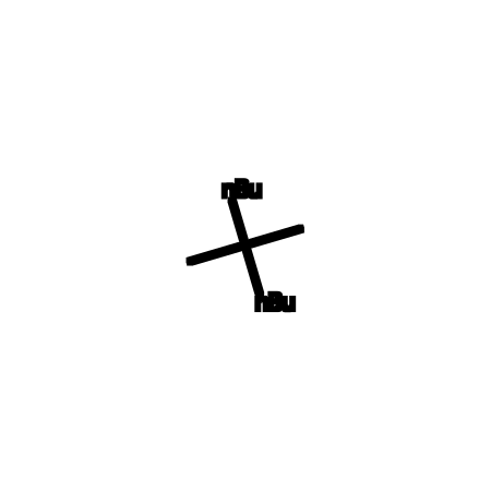 [CH2]CCCC(C)(C)CCCC